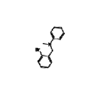 CN(Cc1ccccc1Br)c1ccccc1